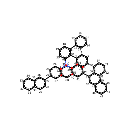 c1ccc(-c2ccccc2-c2c(-c3ccccc3)cccc2N(c2ccc(-c3ccc4ccccc4c3)cc2)c2ccc(-c3cc4ccccc4c4ccccc34)cc2)cc1